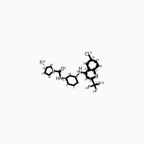 O=C(N[C@@H]1CCC[C@H](Nc2cc(C(F)(F)F)nc3ccc(Cl)cc23)C1)N1CC[C@H](F)C1